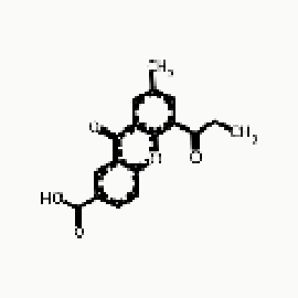 CCC(=O)c1cc(C)cc2c(=O)c3cc(C(=O)O)ccc3oc12